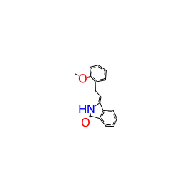 COc1ccccc1CC=C1NC(=O)c2ccccc21